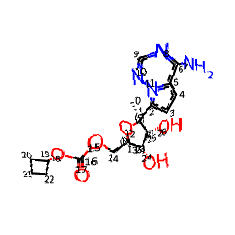 C[C@@]1(c2ccc3c(N)ncnn23)O[C@H](COC(=O)OC2CCC2)[C@@H](O)[C@H]1O